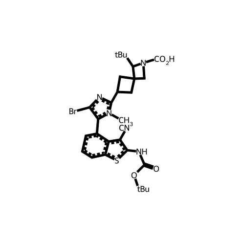 Cn1c(C2CC3(C2)CN(C(=O)O)C3C(C)(C)C)nc(Br)c1-c1cccc2sc(NC(=O)OC(C)(C)C)c(C#N)c12